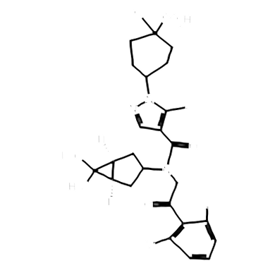 CC1(C(=O)O)CCC(n2ncc(C(=O)N(CC(=O)c3c(Cl)cccc3Cl)C3C[C@@H]4[C@H](C3)C4(C)C)c2C(F)(F)F)CC1